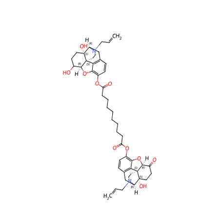 C=CCN1CC[C@]23c4c5ccc(OC(=O)CCCCCCCCC(=O)Oc6ccc7c8c6O[C@H]6C(O)CC[C@@]9(O)[C@@H](C7)N(CC=C)CC[C@]869)c4O[C@H]2C(=O)CC[C@@]3(O)[C@H]1C5